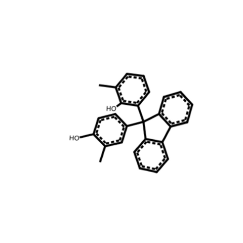 Cc1cc(C2(c3cccc(C)c3O)c3ccccc3-c3ccccc32)ccc1O